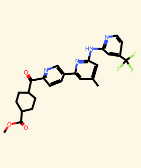 COC(=O)C1CCC(C(=O)c2ccc(-c3cc(C)cc(Nc4cc(C(F)(F)F)ccn4)n3)cn2)CC1